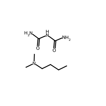 CCCCN(C)C.NC(=O)NC(N)=O